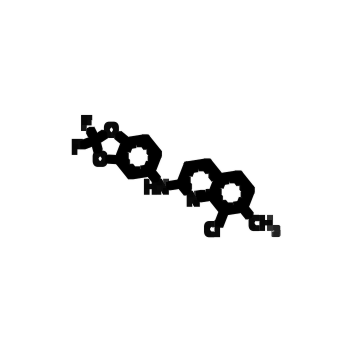 Cc1ccc2ccc(Nc3ccc4c(c3)OC(F)(F)O4)nc2c1Cl